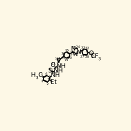 CCc1ccc(C)cc1NC(=S)NC(=O)NC1CC1c1ccc(-c2ncn(-c3ccc(OC(F)(F)F)cc3)n2)cc1